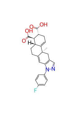 C[C@]12Cc3cnn(-c4ccc(F)cc4)c3C=C1CC[C@H]1C2=CC[C@@H](C(=O)O)[C@@H]1C(=O)O